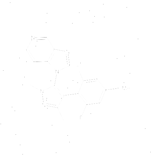 COc1cc(F)c(-c2c(C)nn(C)c2-n2cnc3cnccc32)c(F)c1